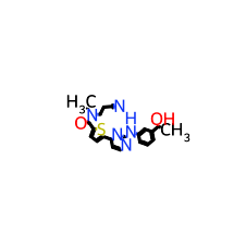 CCN(CCC#N)C(=O)c1ccc(-c2ccnc(Nc3cccc(C(C)O)c3)n2)s1